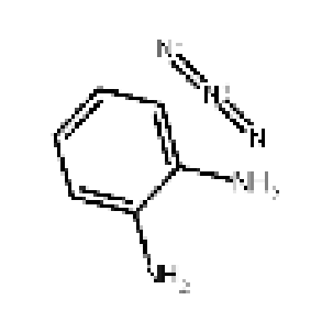 Nc1ccccc1N.[N-]=[N+]=[N-]